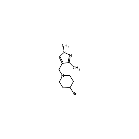 Cc1nn(C)cc1CN1CCC(Br)CC1